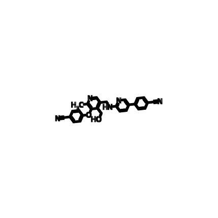 Cc1ncc(CNc2ccc(-c3ccc(C#N)cc3)cn2)c(CO)c1Oc1ccc(C#N)cc1